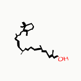 CC1=C(/C=C/C(C)=C\C=C\[C@H](C)C/C=C/C=C(C)/C=C/C=C(C)/C=C/O)C(C)(C)CCC1